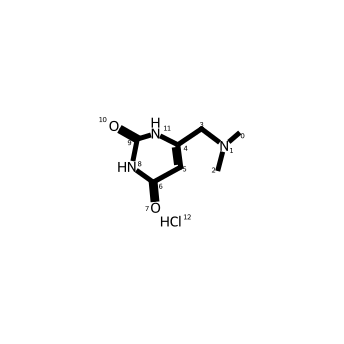 CN(C)Cc1cc(=O)[nH]c(=O)[nH]1.Cl